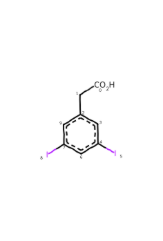 O=C(O)Cc1cc(I)cc(I)c1